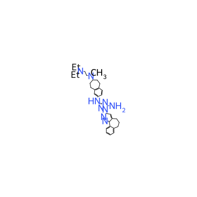 CCN(CC)CCN(C)C1CCc2ccc(Nc3nc(N)n(-c4cc5c(nn4)-c4ccccc4CCC5)n3)cc2CC1